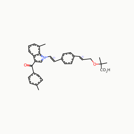 Cc1ccc(C(=O)c2cn(/C=C/c3ccc(/C=C/COC(C)(C)C(=O)O)cc3)c3c(C)cccc23)cc1